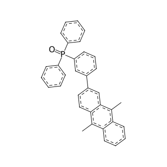 Cc1c2ccccc2c(C)c2cc(-c3cccc(P(=O)(c4ccccc4)c4ccccc4)c3)ccc12